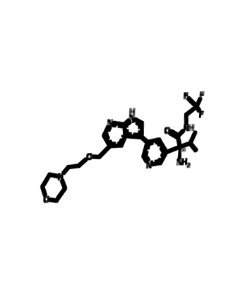 CC(C)[C@@](N)(C(=O)NCC(F)(F)F)c1cncc(-c2c[nH]c3ncc(COCCN4CCOCC4)cc23)c1